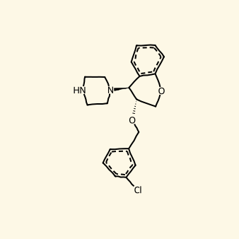 Clc1cccc(CO[C@H]2COc3ccccc3[C@@H]2N2CCNCC2)c1